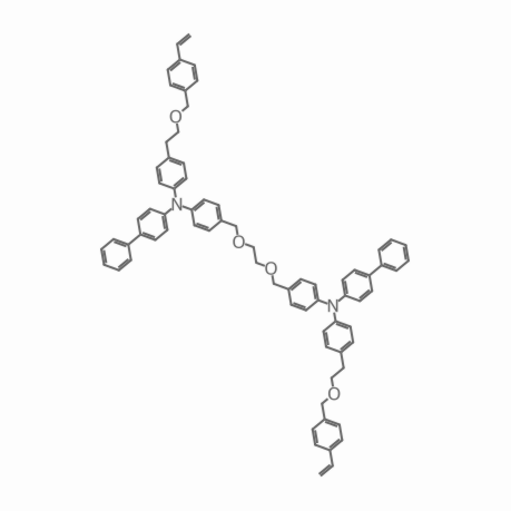 C=Cc1ccc(COCCc2ccc(N(c3ccc(COCCOCc4ccc(N(c5ccc(CCOCc6ccc(C=C)cc6)cc5)c5ccc(-c6ccccc6)cc5)cc4)cc3)c3ccc(-c4ccccc4)cc3)cc2)cc1